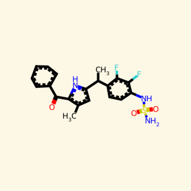 Cc1cc(C(C)c2ccc(NS(N)(=O)=O)c(F)c2F)[nH]c1C(=O)c1ccccc1